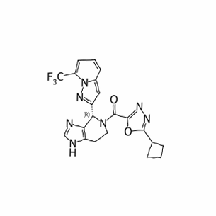 O=C(c1nnc(C2CCC2)o1)N1CCc2[nH]cnc2[C@@H]1c1cc2cccc(C(F)(F)F)n2n1